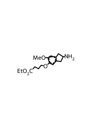 CCOC(=O)CCCOc1cc2c(cc1OC)CC(N)C2